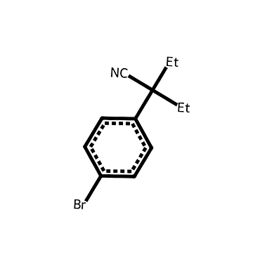 CCC(C#N)(CC)c1ccc(Br)cc1